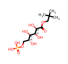 CC(C)(C)COC(=O)[C@H](O)[C@@H](O)[C@H](O)[C@H](O)COP(=O)(O)O